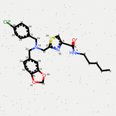 CCCCCNC(=O)c1csc(CN(Cc2ccc(Cl)cc2)Cc2ccc3c(c2)OCO3)n1